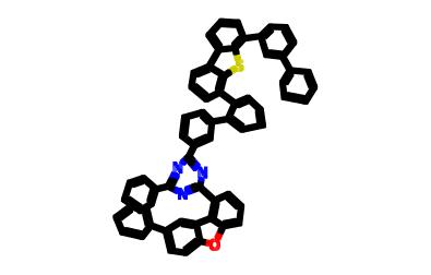 c1ccc(-c2cccc(-c3cccc4c3sc3c(-c5ccccc5-c5cccc(-c6nc(-c7ccccc7)nc(-c7cccc8oc9ccc(-c%10ccccc%10)cc9c78)n6)c5)cccc34)c2)cc1